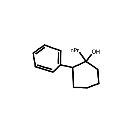 CCCC1(O)CCCCC1c1ccccc1